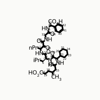 CCCC(NC(=O)[C@H](CC(C)C)NC(=O)[C@@H](NC(=O)CC(C)CCC(=O)O)C1CCCCC1)C(=O)C(=O)NCC(=O)N[C@H](C(=O)O)c1ccccc1